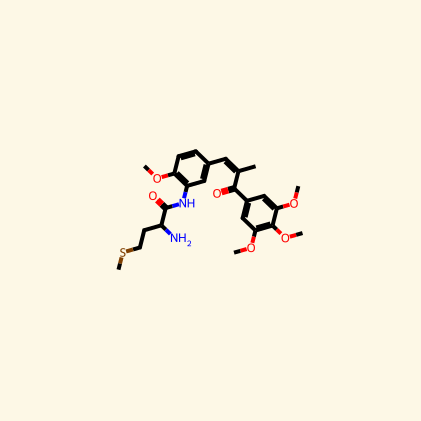 COc1ccc(C=C(C)C(=O)c2cc(OC)c(OC)c(OC)c2)cc1NC(=O)C(N)CCSC